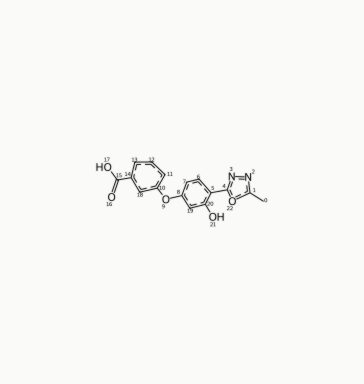 Cc1nnc(-c2ccc(Oc3cccc(C(=O)O)c3)cc2O)o1